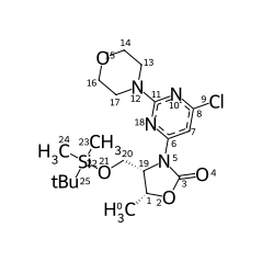 C[C@H]1OC(=O)N(c2cc(Cl)nc(N3CCOCC3)n2)[C@H]1CO[Si](C)(C)C(C)(C)C